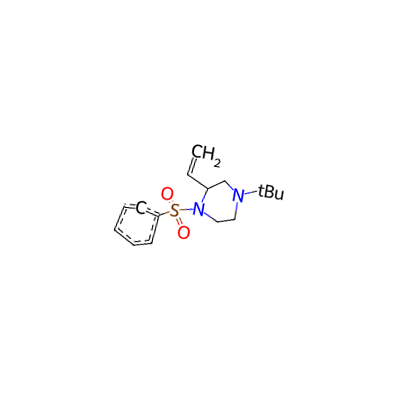 C=CC1CN(C(C)(C)C)CCN1S(=O)(=O)c1ccccc1